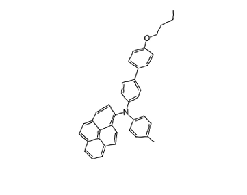 CCCCOc1ccc(-c2ccc(N(c3ccc(C)cc3)c3ccc4ccc5cccc6ccc3c4c56)cc2)cc1